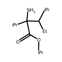 CCC(C(C)C)C([SiH3])(C(=O)OC(C)C)C(C)C